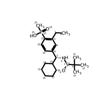 CCc1cc([C@H](N[S@+]([O-])C(C)(C)C)C2CCCCC2)ccc1P(C)(=O)O